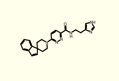 O=C(NCCc1c[nH]cn1)c1ccc(N2CCC3(C=Cc4ccccc43)CC2)nn1